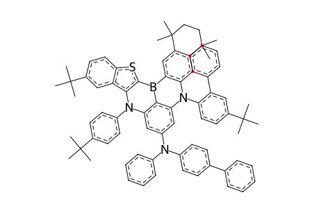 CC(C)(C)c1ccc(N2c3cc(N(c4ccccc4)c4ccc(-c5ccccc5)cc4)cc4c3B(c3cc5c(cc3N4c3ccc(C(C)(C)C)cc3-c3ccccc3)C(C)(C)CCC5(C)C)c3sc4ccc(C(C)(C)C)cc4c32)cc1